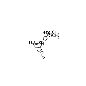 C[C@@H](Oc1ccc(OCC2CC2)nc1)c1cc(-c2ccc(C(=O)OC(C)(C)C)c(F)c2)ns1